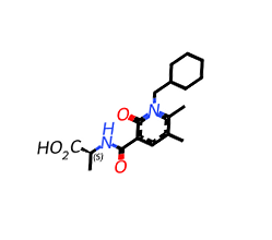 Cc1cc(C(=O)N[C@@H](C)C(=O)O)c(=O)n(CC2CCCCC2)c1C